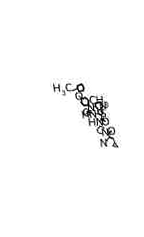 CCc1ccccc1Oc1ccc(N2C(=O)Nc3c(C(=O)N[C@@H]4CCCN(C(=O)/C(C#N)=C/C5CC5)C4)sc4nccc2c34)c(C)c1